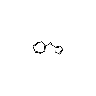 C1=CC=[C]([Cr][C]2=CC=CC2)CC=C1